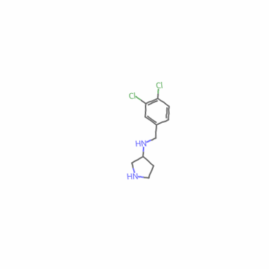 Clc1ccc(CNC2CCNC2)cc1Cl